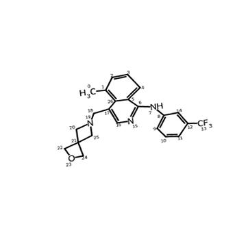 Cc1cccc2c(Nc3cccc(C(F)(F)F)c3)ncc(CN3CC4(COC4)C3)c12